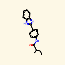 CCC(C)C(=O)Nc1ccc(-c2nc3ccccc3[nH]2)cc1